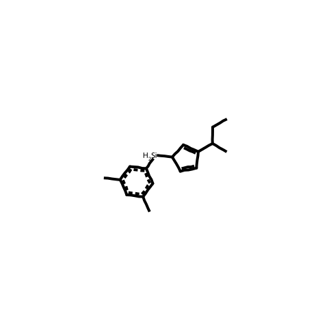 CCC(C)C1=C[C]([SiH2]c2cc(C)cc(C)c2)C=C1